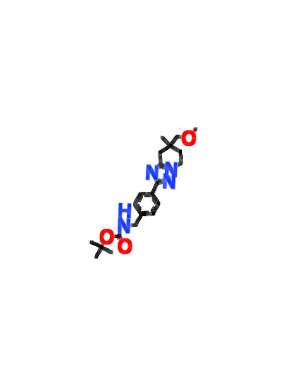 COCC1(C)CCn2nc(-c3ccc(CNC(=O)OC(C)(C)C)cc3)nc2C1